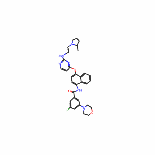 CC1CCCN1CCNc1nccc(Oc2ccc(NC(=O)c3cc(F)cc(N4CCOCC4)c3)c3ccccc23)n1